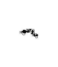 CC(=O)OC(C)c1nc(C(=O)N[C@@H](C)Cn2ccc(-c3ccc(C#N)c(Cl)c3)n2)cs1